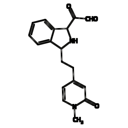 Cn1ccc(CCC2NC(C(=O)C=O)c3ccccc32)cc1=O